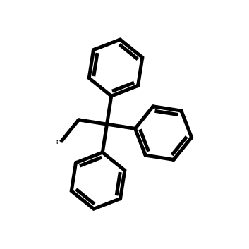 [CH]CC(c1ccccc1)(c1ccccc1)c1ccccc1